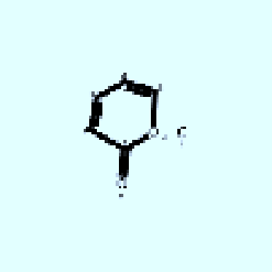 O=c1cccco1.[C]